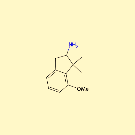 COc1cccc2c1C(C)(C)C(N)C2